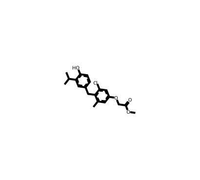 COC(=O)COc1cc(C)c(Cc2ccc(O)c(C(C)C)c2)c(Cl)c1